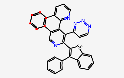 c1ccc(-c2cccnc2-c2c(-c3ccccc3)cnc(-c3[se]c4ccccc4c3-c3ccccc3)c2-c2ccnnn2)cc1